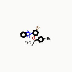 CCOC(=O)C(Oc1ccc(Br)cc1-n1nc2ccccc2n1)c1ccc(C(C)(C)C)cc1